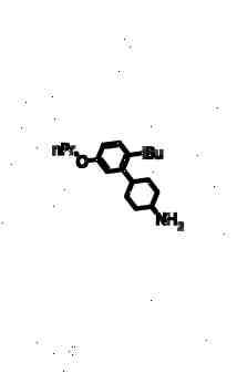 CCCOc1ccc(C(C)CC)c(C2CCC(N)CC2)c1